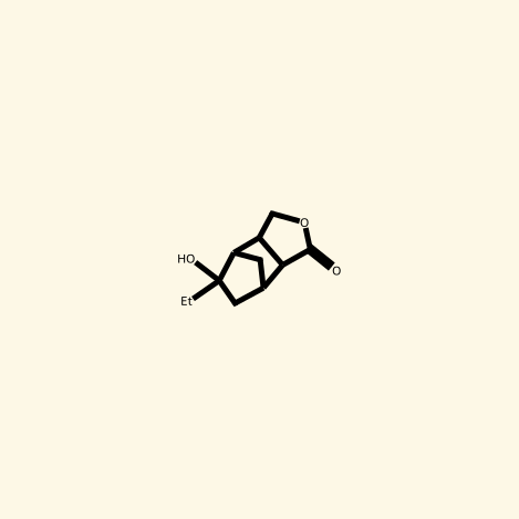 CCC1(O)CC2CC1C1COC(=O)C21